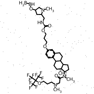 BBOC1CC(CNC(=O)OCCCOc2ccc3c(c2)CCC2C3CC[C@@]3(C)C2CC[C@@H]3N(C)C(=O)CN(C)CCCOC(C(F)(F)F)(C(F)(F)F)C(F)(F)F)N(C)C1